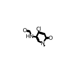 Cn1cc(NC=O)c(Cl)cc1=O